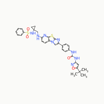 CC(C)(C)c1cc(NC(=O)Nc2ccc(-c3cn4c(n3)sc3nc(NCC5(NS(=O)(=O)c6ccccc6)CC5)ccc34)cc2)no1